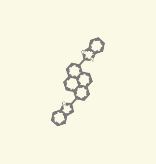 c1ccc2oc(-c3ccc4ccc5c(-c6nc7ccccc7o6)ccc6ccc3c4c65)cc2c1